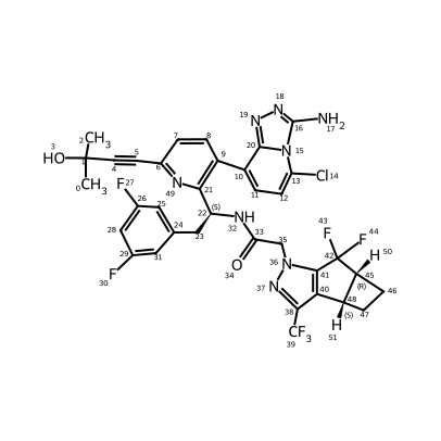 CC(C)(O)C#Cc1ccc(-c2ccc(Cl)n3c(N)nnc23)c([C@H](Cc2cc(F)cc(F)c2)NC(=O)Cn2nc(C(F)(F)F)c3c2C(F)(F)[C@@H]2CC[C@H]32)n1